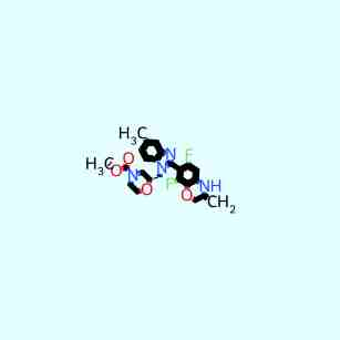 C=C1COc2c(cc(F)c(-c3nc4cc(C)ccc4n3C[C@H]3CN(C(=O)OC)CCO3)c2F)N1